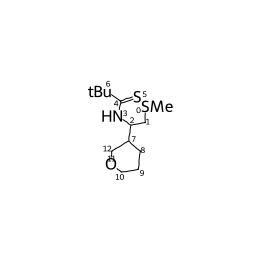 CSCC(NC(=S)C(C)(C)C)C1CCCOC1